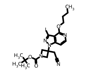 CCCCOc1nccc2c1c(I)nn2C1(CC#N)CN(C(=O)OC(C)(C)C)C1